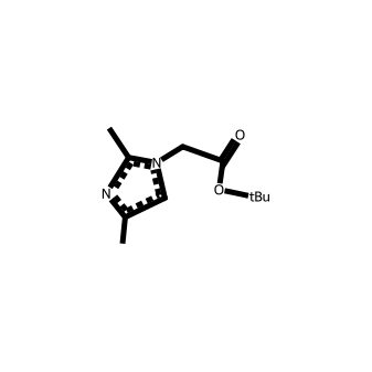 Cc1cn(CC(=O)OC(C)(C)C)c(C)n1